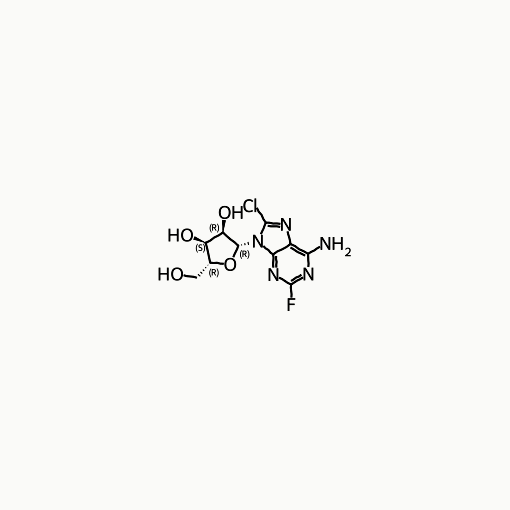 Nc1nc(F)nc2c1nc(Cl)n2[C@@H]1O[C@H](CO)[C@@H](O)[C@H]1O